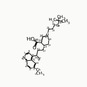 COc1ccc2nccc([C@H](F)CC[C@@H]3CCN(CCCSC(C)(C)C)C[C@@H]3C(=O)O)c2c1